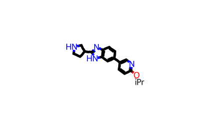 CC(C)Oc1ccc(-c2ccc3nc(C4CCNC4)[nH]c3c2)cn1